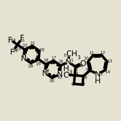 CN(C(=O)C1(C)CCC1C1=CC=CC=CN1)c1cc(-c2ccc(C(F)(F)F)nc2)ncn1